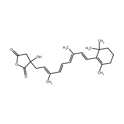 CC(C=CC1=C(C)CCCC1(C)C)=CC=CC(C)=CCC1(O)CC(=O)OC1=O